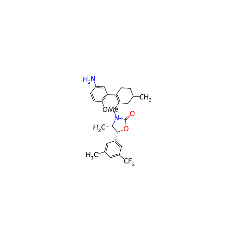 COc1ccc(N)cc1C1=C(CN2C(=O)O[C@H](c3cc(C)cc(C(F)(F)F)c3)[C@@H]2C)CC(C)CC1